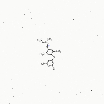 CCN(C)/C=N/c1cc(C)c(Oc2cc(Cl)cc(Cl)c2)cc1C